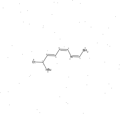 B\C=N/C=C\C=C\C(CC)CCCC